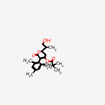 Cc1cc(C)c(C2=C(OC(=O)C(C)(C)C)CC(C(C)CO)OC2=O)c(C)c1